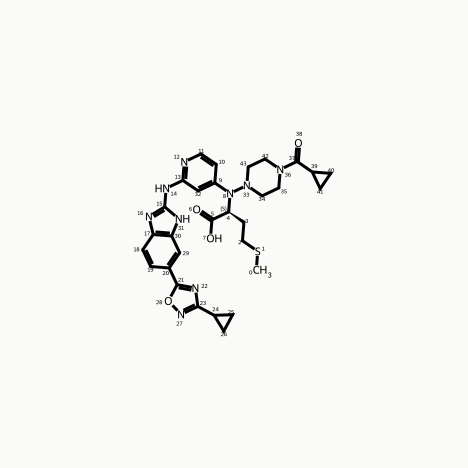 CSCC[C@@H](C(=O)O)N(c1ccnc(Nc2nc3ccc(-c4nc(C5CC5)no4)cc3[nH]2)c1)N1CCN(C(=O)C2CC2)CC1